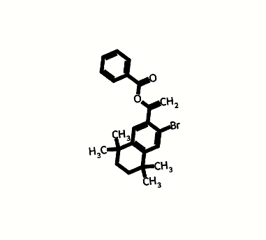 C=C(OC(=O)c1ccccc1)c1cc2c(cc1Br)C(C)(C)CCC2(C)C